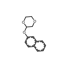 [c]1c(OC2COCCO2)ccc2ccccc12